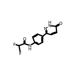 O=C(Nc1ccc(-c2ccc(=O)[nH]n2)cc1)C(F)F